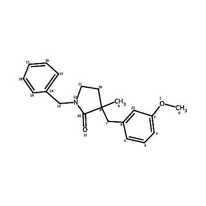 COc1cccc(CC2(C)CCN(Cc3ccccc3)C2=O)c1